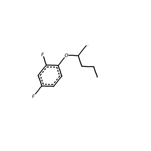 [CH2]C(CCC)Oc1ccc(F)cc1F